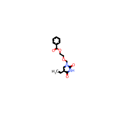 C=Cc1cn(COCCOC(=O)c2ccccc2)c(=O)[nH]c1=O